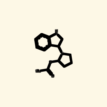 CC(C)(C)C(=O)OC1CCCN1C1CNc2ccccc21